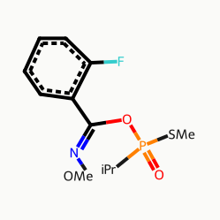 CON=C(OP(=O)(SC)C(C)C)c1ccccc1F